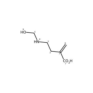 C=C(CCNCO)C(=O)O